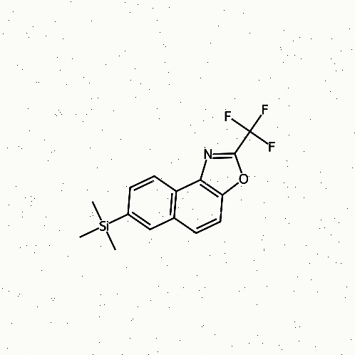 C[Si](C)(C)c1ccc2c(ccc3oc(C(F)(F)F)nc32)c1